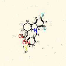 CSc1ccc(Cn2c3c(c4cc(F)cc(F)c42)CCCC3CC(=O)O)cc1